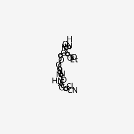 CCS(=O)(=O)Cc1ccc(Oc2cccc(OCCOC3CCN(c4ncc(C(=O)NC5C(C)(C)C(Oc6ccc(C#N)c(Cl)c6)C5(C)C)cn4)CC3)c2)c(-c2cn(C)c(=O)c3[nH]ccc23)c1